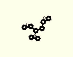 c1cc(-c2cc(-c3ccc4oc5ccccc5c4c3)cc(-n3c4ccccc4c4ccccc43)c2)cc(-c2ccc3oc4ccccc4c3c2)c1